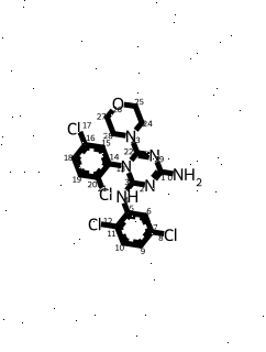 NC1=NC(Nc2cc(Cl)ccc2Cl)N(c2cc(Cl)ccc2Cl)C(N2CCOCC2)=N1